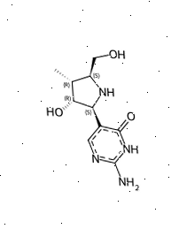 C[C@H]1[C@@H](O)[C@H](c2cnc(N)[nH]c2=O)N[C@@H]1CO